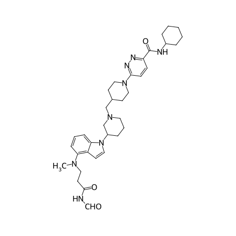 CN(CCC(=O)NC=O)c1cccc2c1ccn2C1CCCN(CC2CCN(c3ccc(C(=O)NC4CCCCC4)nn3)CC2)C1